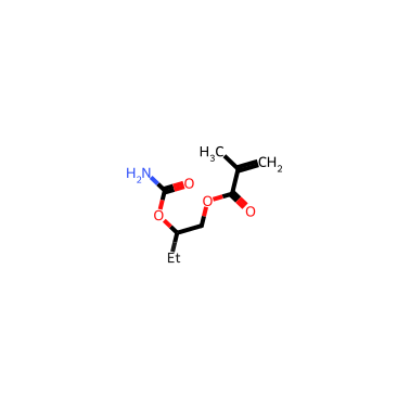 C=C(C)C(=O)OCC(CC)OC(N)=O